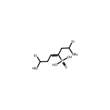 CCCCC(CC)C/C=C(/CC(CC)CCCC)P(=O)(O)O